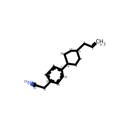 C=CCC1CCC(c2ccc(CC#N)cc2)CC1